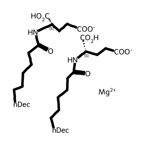 CCCCCCCCCCCCCCCC(=O)N[C@@H](CCC(=O)[O-])C(=O)O.CCCCCCCCCCCCCCCC(=O)N[C@@H](CCC(=O)[O-])C(=O)O.[Mg+2]